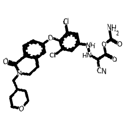 N#CC(NNc1cc(Cl)c(Oc2ccc3c(c2)CCN(CC2CCOCC2)C3=O)c(Cl)c1)C(=O)OC(N)=O